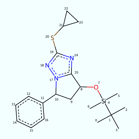 CC(C)(C)[Si](C)(C)OC1CC(c2ccccc2)n2nc(SC3CC3)nc21